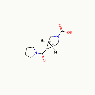 O=C(O)N1C[C@@H]2C(C(=O)N3CCCC3)[C@@H]2C1